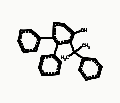 CC(C)(c1ccccc1)c1c(O)ccc(-c2ccccc2)c1-c1ccccc1